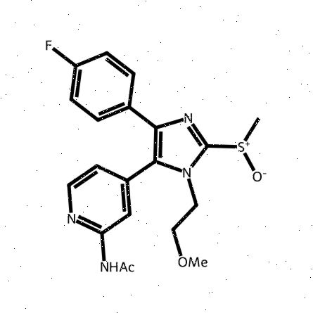 COCCn1c([S+](C)[O-])nc(-c2ccc(F)cc2)c1-c1ccnc(NC(C)=O)c1